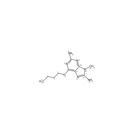 CCCCOc1nc(N)nc2c1nc(N)n2C